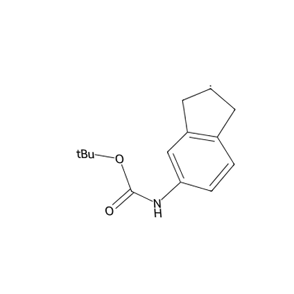 CC(C)(C)OC(=O)Nc1ccc2c(c1)C[CH]C2